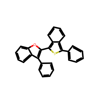 c1ccc(-c2c(-c3sc(-c4ccccc4)c4ccccc34)oc3ccccc23)cc1